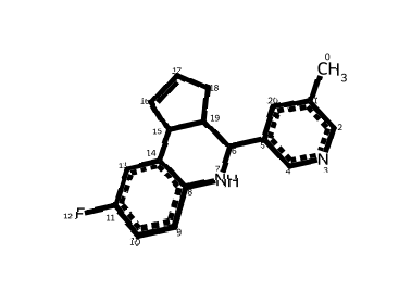 Cc1cncc(C2Nc3ccc(F)cc3C3C=CCC32)c1